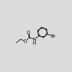 CCOC(=O)Nc1cccc(Br)c1